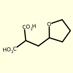 O=C(O)C(CC1CCCO1)C(=O)O